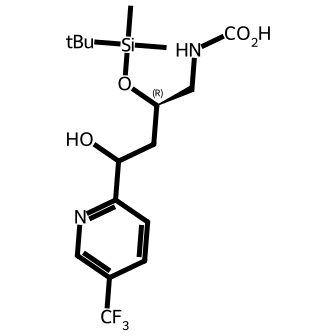 CC(C)(C)[Si](C)(C)O[C@@H](CNC(=O)O)CC(O)c1ccc(C(F)(F)F)cn1